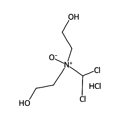 Cl.[O-][N+](CCO)(CCO)C(Cl)Cl